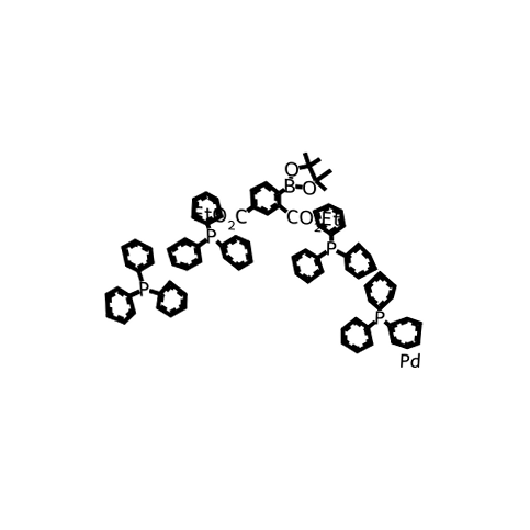 CCOC(=O)c1ccc(B2OC(C)(C)C(C)(C)O2)c(C(=O)OCC)c1.[Pd].c1ccc(P(c2ccccc2)c2ccccc2)cc1.c1ccc(P(c2ccccc2)c2ccccc2)cc1.c1ccc(P(c2ccccc2)c2ccccc2)cc1.c1ccc(P(c2ccccc2)c2ccccc2)cc1